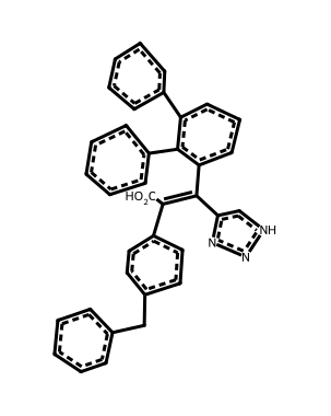 O=C(O)C(=C(c1c[nH]nn1)c1cccc(-c2ccccc2)c1-c1ccccc1)c1ccc(Cc2ccccc2)cc1